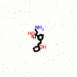 [2H]C(O)(CCN)c1cccc(C=CC2(O)CCCCC2)c1